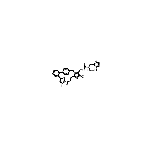 CCCCc1nc(Cl)c(COC(=O)C(Cc2ncc[nH]2)NC)n1Cc1ccc(-c2ccccc2-c2nn[nH]n2)cc1